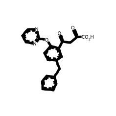 O=C(O)C(=O)CC(=O)c1cc(Cc2ccccc2)ccc1Oc1ncccn1